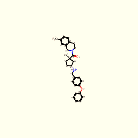 CC(C)[C@]1(C(=O)N2CCc3ccc(C(F)(F)F)cc3C2)CC[C@@H](NCc2ccc(Oc3ccccc3)cc2)C1